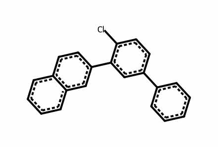 Clc1ccc(-c2ccccc2)cc1-c1ccc2ccccc2c1